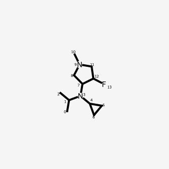 CC(C)N(C1CC1)C1CN(C)CC1F